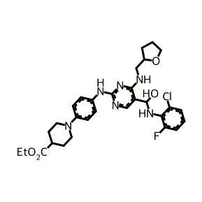 CCOC(=O)C1CCN(c2ccc(Nc3ncc(C(O)Nc4c(F)cccc4Cl)c(NCC4CCCO4)n3)cc2)CC1